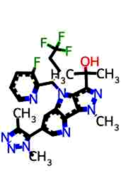 Cc1nnn(C)c1-c1cnc2c3c(c(C(C)(C)O)nn3C)n([C@@H](CCC(F)(F)F)c3ncccc3F)c2c1